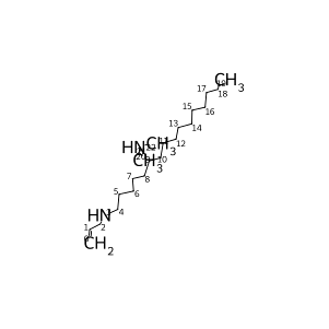 C=CCNCCCCCCCCCCCCCCCC.CNC